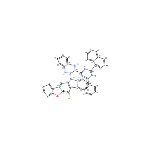 Fc1c2oc3ccccc3c2cc2c1c1ccccc1n2-c1nc2ccccc2nc1-c1nc(-c2ccccc2)nc(-c2cccc3ccccc23)n1